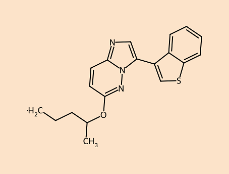 [CH2]CCC(C)Oc1ccc2ncc(-c3csc4ccccc34)n2n1